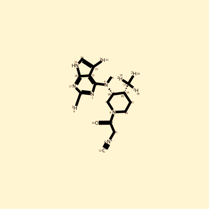 [2H]c1nc(N(C)[C@H]2CN(C(=O)C[N+]#[C-])CC[C@H]2C([2H])([2H])[2H])c2c([2H])c[nH]c2n1